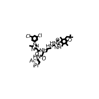 CC(=O)[C@@H](CC(C)C)NC(=O)[C@H](CCCNC(=N)NS(=O)(=O)c1c(C)c(C)c2c(c1C)CC(C)(C)O2)NC(=O)c1nc(C)n(-c2cc(Cl)cc(Cl)c2)n1